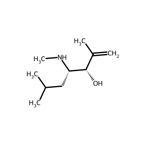 C=C(C)[C@H](O)[C@H](CC(C)C)NC